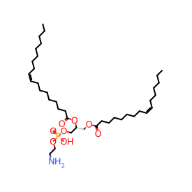 CCCCCC/C=C\CCCCCCCC(=O)OC[C@H](COP(=O)(O)OCCN)OC(=O)CCCCCCC/C=C\CCCCCCCC